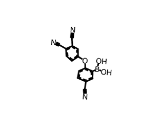 N#Cc1ccc(Oc2ccc(C#N)c(C#N)c2)c(B(O)O)c1